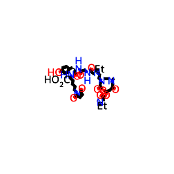 CCN(C)CC(=O)OC1CC(=O)CN(C)CCN(CCN(CC)CC(=O)NCC(=O)N[C@@H](Cc2ccc(O)cc2)C(=O)N[C@@H](CCCCN2C(=O)C=CC2=O)C(=O)O)CC(=O)O1